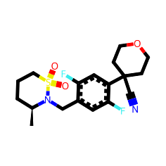 C[C@H]1CCCS(=O)(=O)N1Cc1cc(F)c(C2(C#N)CCOCC2)cc1F